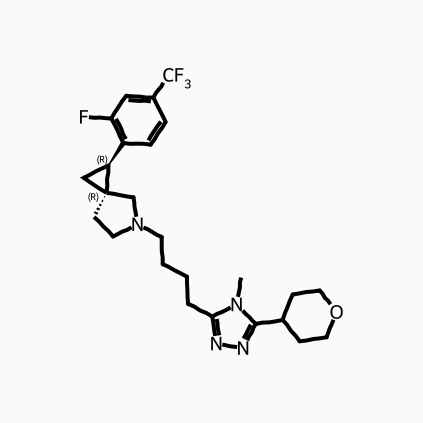 Cn1c(CCCCN2CC[C@@]3(C[C@H]3c3ccc(C(F)(F)F)cc3F)C2)nnc1C1CCOCC1